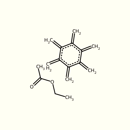 C=c1c(=C)c(=C)c(=C)c(=C)c1=C.CCOC(C)=O